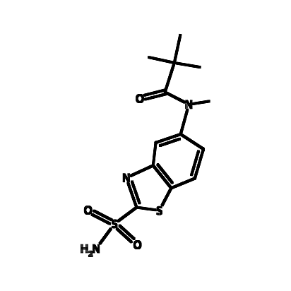 CN(C(=O)C(C)(C)C)c1ccc2sc(S(N)(=O)=O)nc2c1